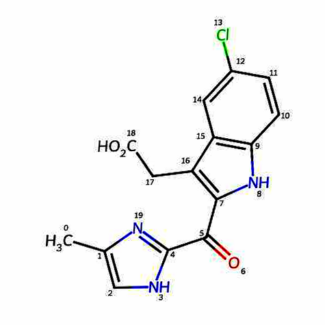 Cc1c[nH]c(C(=O)c2[nH]c3ccc(Cl)cc3c2CC(=O)O)n1